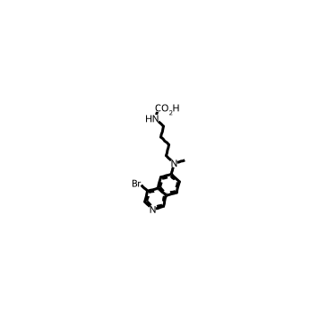 CN(CCCCNC(=O)O)c1ccc2cncc(Br)c2c1